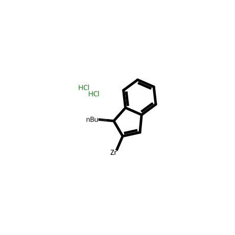 CCCCC1[C]([Zr])=Cc2ccccc21.Cl.Cl